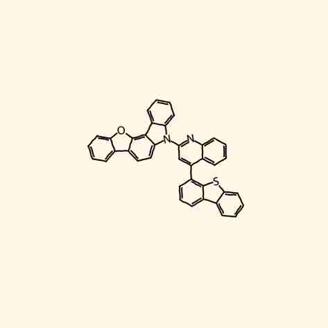 c1ccc2c(-c3cccc4c3sc3ccccc34)cc(-n3c4ccccc4c4c5oc6ccccc6c5ccc43)nc2c1